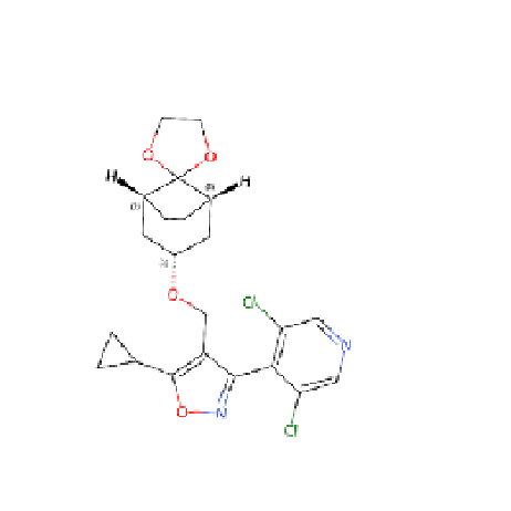 Clc1cncc(Cl)c1-c1noc(C2CC2)c1CO[C@@H]1C[C@H]2CC[C@@H](C1)C21OCCO1